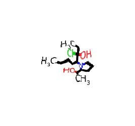 CCCCC(N1CCCC1C(C)O)C(O)(Cl)CC